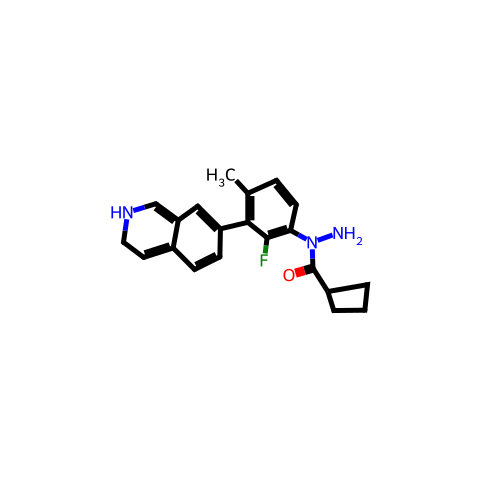 Cc1ccc(N(N)C(=O)C2CCC2)c(F)c1-c1ccc2c(c1)=CNCC=2